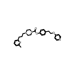 Cc1cccc(CCCN2CCN(C(=O)Oc3ccc(CCOc4ccncc4)cc3)CC2)n1